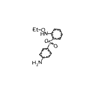 CCONc1ccccc1S(=O)(=O)c1ccc(N)cc1